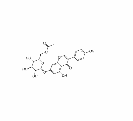 CC(=O)OC[C@H]1O[C@@H](Oc2cc(O)c3c(=O)c(-c4ccc(O)cc4)coc3c2)[C@H](O)[C@@H](O)[C@@H]1O